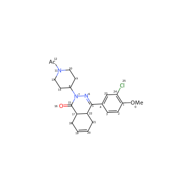 COc1ccc(C2=NN(C3CCN(C(C)=O)CC3)C(=O)C3CC=CCC23)cc1Cl